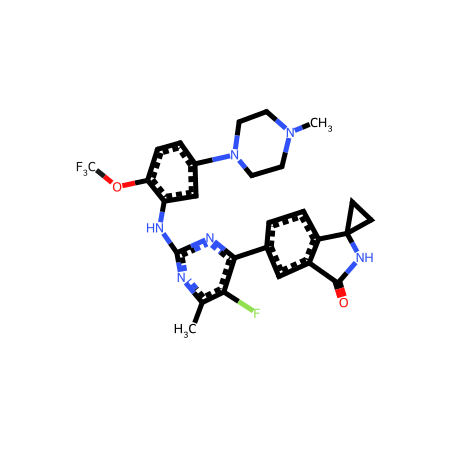 Cc1nc(Nc2cc(N3CCN(C)CC3)ccc2OC(F)(F)F)nc(-c2ccc3c(c2)C(=O)NC32CC2)c1F